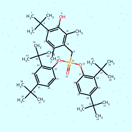 Cc1cc(C(C)(C)C)c(O)c(C)c1CP(=O)(Oc1ccc(C(C)(C)C)cc1C(C)(C)C)Oc1ccc(C(C)(C)C)cc1C(C)(C)C